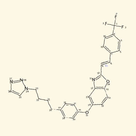 FC(F)(F)c1ccc(/C=C/c2nc3cc(Oc4ccc(CCCCn5ccnn5)cc4)ccc3o2)cc1